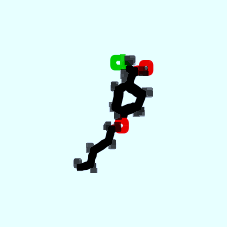 CCCCCOc1ccc(C(=O)Cl)cc1